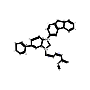 C=NC(=C)/C=C\C=C/N1CN(c2ccc3c(c2)C2C=CC=CC2C3)C2C=CC(C3=CCCC=C3)=CC21